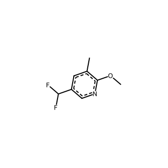 COc1ncc(C(F)F)cc1C